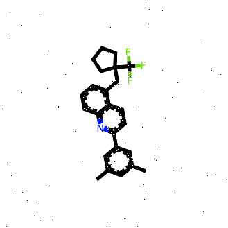 Cc1cc(C)cc(-c2ccc3c(CC4(C(F)(F)F)CCCC4)cccc3n2)c1